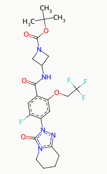 CC(C)(C)OC(=O)N1CC(NC(=O)c2cc(F)c(-n3nc4n(c3=O)CCCC4)cc2OCC(F)(F)F)C1